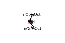 CCCCCCCCC(CCCCCCCC)OC(=O)CCCCCCCOP(=O)(NCCN(C)C)OCCCCCCCC(=O)OC(CCCCCCCC)CCCCCCCC